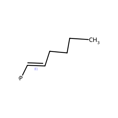 CCCC/C=C/[P]